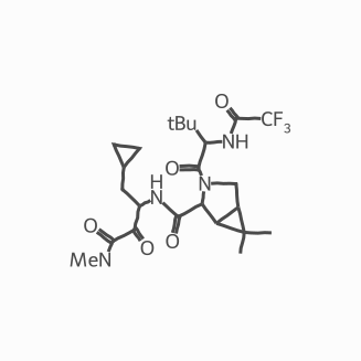 CNC(=O)C(=O)C(CC1CC1)NC(=O)C1C2C(CN1C(=O)C(NC(=O)C(F)(F)F)C(C)(C)C)C2(C)C